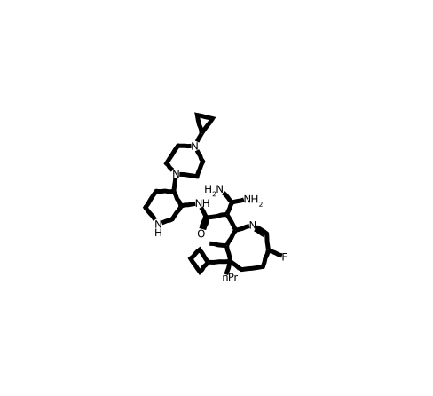 CCCC1(C2CCC2)CCC(F)/C=N\C(C(C(=O)NC2CNCCC2N2CCN(C3CC3)CC2)C(N)N)C1C